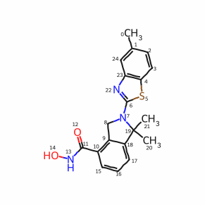 Cc1ccc2sc(N3Cc4c(C(=O)NO)cccc4C3(C)C)nc2c1